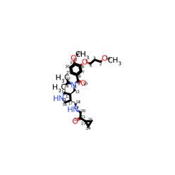 COCCCOc1cc(C(=O)N(C[C@@H]2CNC[C@H]2CNCC(=O)C2CC2)C(C)C)ccc1OC